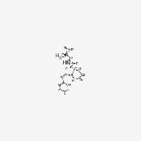 CCC(C/C=C/c1ccccc1)(NCC1(C)CC1)c1ccccc1